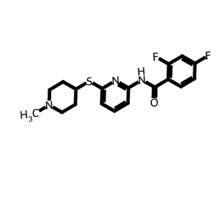 CN1CCC(Sc2cccc(NC(=O)c3ccc(F)cc3F)n2)CC1